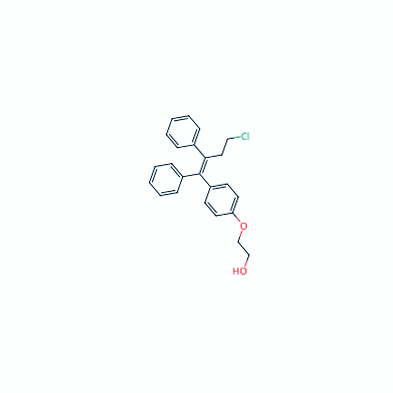 OCCOc1ccc(/C(=C(\CCCl)c2ccccc2)c2ccccc2)cc1